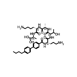 CCCCc1ccc(-c2ccc(C(=O)N[C@@H](CCCN)C(=O)N[C@H](C(=O)N[C@@H](C)C(=O)N[C@@H](CCCCN)C(=O)N[C@@H](C)B(O)O)C(C)O)cc2)cc1